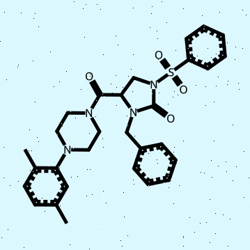 Cc1ccc(C)c(N2CCN(C(=O)C3CN(S(=O)(=O)c4ccccc4)C(=O)N3Cc3ccccc3)CC2)c1